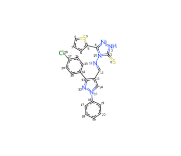 S=c1[nH]nc(-c2cccs2)n1/N=C/c1cn(-c2ccccc2)nc1-c1ccc(Cl)cc1